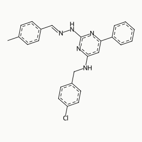 Cc1ccc(C=NNc2nc(NCc3ccc(Cl)cc3)cc(-c3ccccc3)n2)cc1